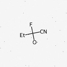 CCC([O])(F)C#N